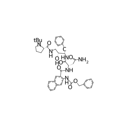 CC(C)(C)N1CCC[C@H]1C(=O)NC[C@@H](O)[C@H](Cc1ccccc1)NC(=O)[C@H](CC(N)=O)NC(=O)c1cc2ccccc2cc1NC(=O)OCc1ccccc1